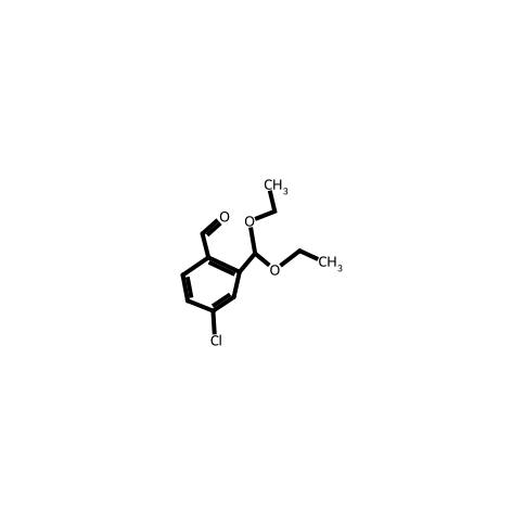 CCOC(OCC)c1cc(Cl)ccc1C=O